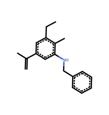 C=C(C)c1cc(CC)c(C)c(NCc2ccccc2)c1